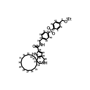 CCOCc1ccc(S(=O)(=O)c2ccc(CNC(=O)c3cc4c([nH]3)C3(CCCCCCCCCCCC3)CNC4)cc2)cc1